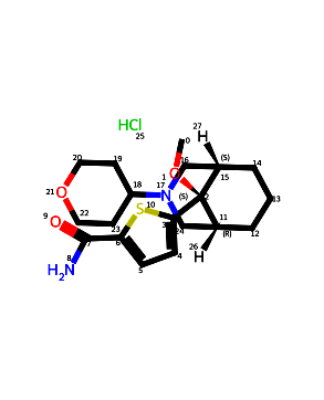 CO[C@]1(c2ccc(C(N)=O)s2)[C@@H]2CCC[C@H]1CN(C1CCOCC1)C2.Cl